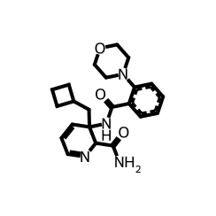 NC(=O)C1N=CC=CC1(CC1CCC1)NC(=O)c1ccccc1N1CCOCC1